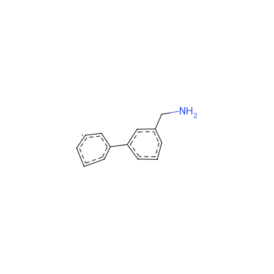 NCc1cccc(-c2c[c]ccc2)c1